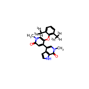 [2H]C([2H])([2H])c1cccc(C([2H])([2H])[2H])c1Oc1cn(C)c(=O)cc1-c1cn(C)c(=O)c2[nH]ccc12